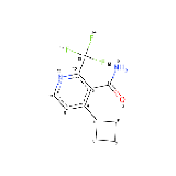 NC(=O)c1c(C2CCC2)ccnc1C(F)(F)F